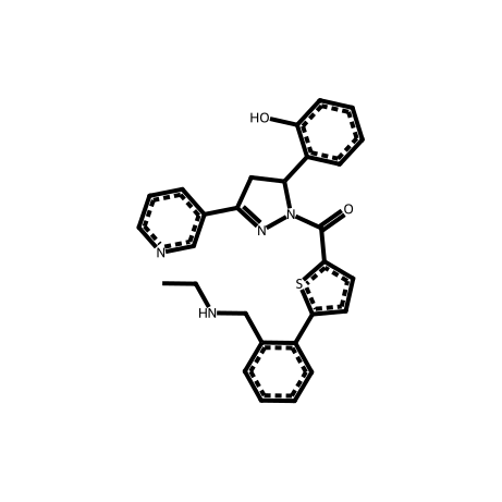 CCNCc1ccccc1-c1ccc(C(=O)N2N=C(c3cccnc3)CC2c2ccccc2O)s1